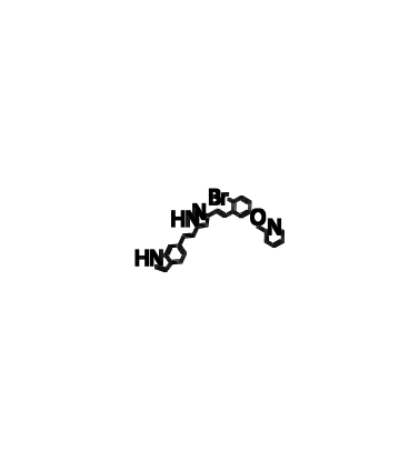 Brc1ccc(OCc2ccccn2)cc1C=Cc1cc(C=Cc2ccc3cc[nH]c3c2)[nH]n1